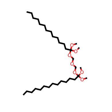 CCCCCCCCCCCCCC(OC)(OC)OCOCOC(CCCCCCCCCCCCC)(OC)OC